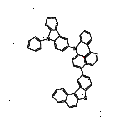 c1ccc(-c2ccccc2N(c2ccc(-c3ccc4sc5ccc6ccccc6c5c4c3)cc2)c2ccc3c(c2)c2ccccc2n3-c2ccccc2)cc1